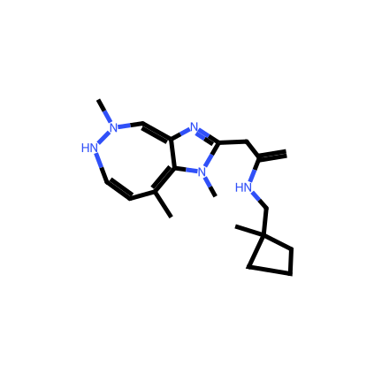 C=C(Cc1nc2cn(C)[nH]ccc(C)c2n1C)NCC1(C)CCC1